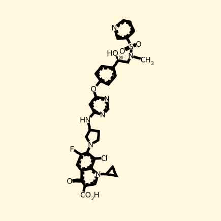 CN(C[C@H](O)c1ccc(Oc2cc(NC3CCN(c4c(F)cc5c(=O)c(C(=O)O)cn(C6CC6)c5c4Cl)C3)ncn2)cc1)S(=O)(=O)c1cccnc1